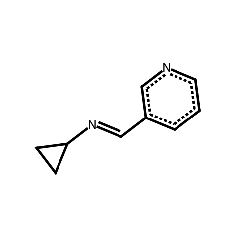 C(=NC1CC1)c1cccnc1